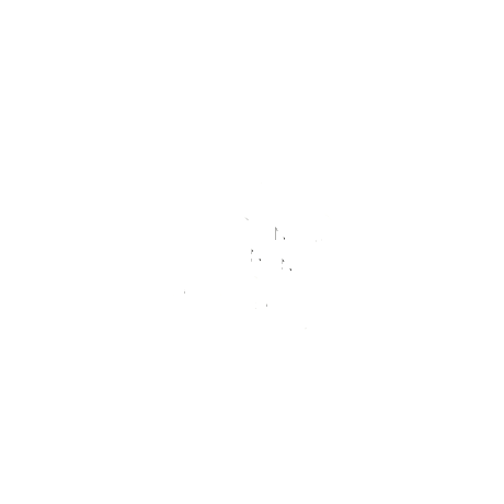 c1ccc2c3c(ccc2c1)N(c1nc(-c2ccc4oc5ccccc5c4c2)c2oc4ccccc4c2n1)c1cccc2cccc-3c12